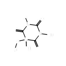 CCO[N+]1(O)C(=O)N(O)C(=O)N(O)C1=O